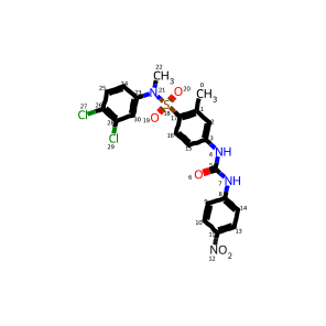 Cc1cc(NC(=O)Nc2ccc([N+](=O)[O-])cc2)ccc1S(=O)(=O)N(C)c1ccc(Cl)c(Cl)c1